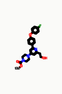 CC(C)(C)OC(=O)N1CCN(c2cc(CCO)nc(-c3ccc(Oc4ccc(F)cc4)cc3)c2)CC1